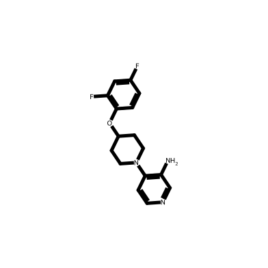 Nc1cnccc1N1CCC(Oc2ccc(F)cc2F)CC1